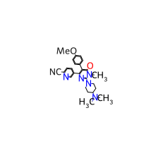 COc1ccc(-c2c(-c3ccc(C#N)nc3)nc(N3CCC(N(C)C)CC3)n(C)c2=O)cc1